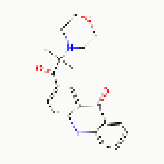 CC(C)(C(=O)c1ccc2[nH]c3ccccc3c(=O)c2c1)N1CCOCC1